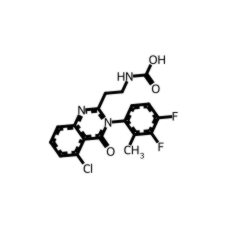 Cc1c(-n2c(CCNC(=O)O)nc3cccc(Cl)c3c2=O)ccc(F)c1F